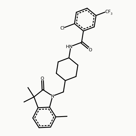 Cc1cccc2c1N(CC1CCC(NC(=O)c3cc(C(F)(F)F)ccc3Cl)CC1)C(=O)C2(C)C